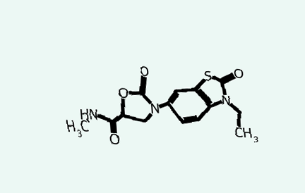 CCn1c(=O)sc2cc(N3CC(C(=O)NC)OC3=O)ccc21